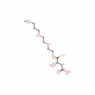 CCCCOCCOCCOC(=S)C(O)CC(=O)O